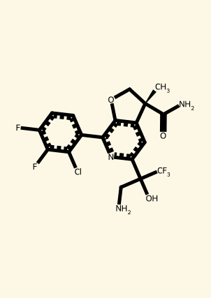 C[C@]1(C(N)=O)COc2c1cc(C(O)(CN)C(F)(F)F)nc2-c1ccc(F)c(F)c1Cl